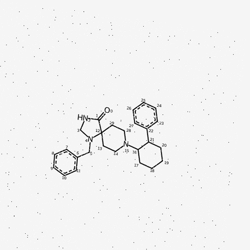 O=C1NCN(Cc2ccccc2)C12CCN(C1CCCCC1c1ccccc1)CC2